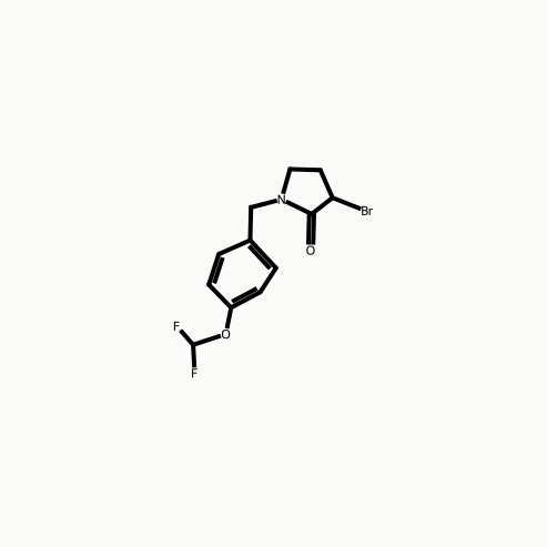 O=C1C(Br)CCN1Cc1ccc(OC(F)F)cc1